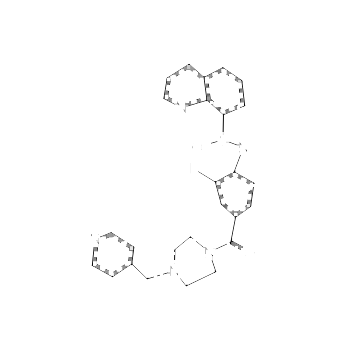 O=C(c1ccc(N[S+]([O-])c2cccc3cccnc23)c(F)c1)N1CCN(Cc2ccncc2)CC1